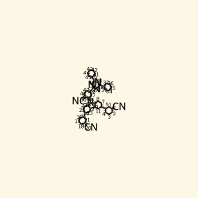 N#Cc1cccc(-c2ccc3c(c2)c2cc(-c4cccc(C#N)c4)ccc2n3-c2cc(-c3nc(-c4ccccc4)nc(-c4ccccc4)n3)ccc2C#N)c1